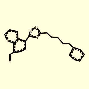 O=Cc1ccc(-c2noc(CCCCCc3ccccc3)n2)c2cccnc12